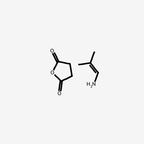 CC(C)=CN.O=C1CCC(=O)O1